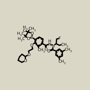 CCC(CF)N(NC(=O)c1ccc(B2OC(C)(C)C(C)(C)O2)c(OCCOC2CCCCO2)c1C)C(=O)c1cc(C)cc(C)c1